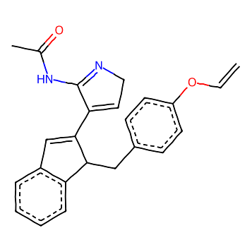 C=COc1ccc(CC2C(C3=CCN=C3NC(C)=O)=Cc3ccccc32)cc1